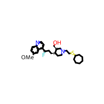 COc1ccc2nccc([C@H](F)CC[C@@H]3CCN(CCSC4CCCCCC4)C[C@@H]3CO)c2c1